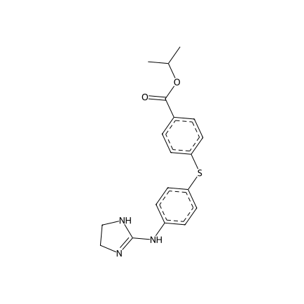 CC(C)OC(=O)c1ccc(Sc2ccc(NC3=NCCN3)cc2)cc1